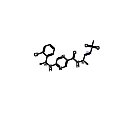 C[C@H](/C=C/S(C)(=O)=O)NC(=O)c1cnc(N[C@@H](C)c2ccccc2Cl)cn1